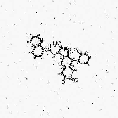 Nc1ccc2c(-c3ccccc3C(=O)O)c3cc(Cl)c(=O)cc-3oc2c1CNc1cccc2cccnc12